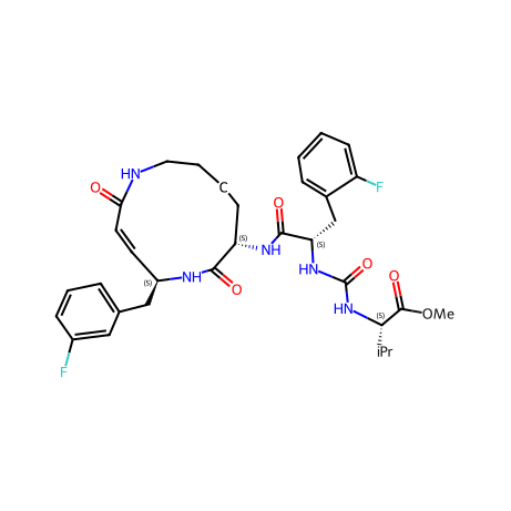 COC(=O)[C@@H](NC(=O)N[C@@H](Cc1ccccc1F)C(=O)N[C@H]1CCCCNC(=O)C=C[C@H](Cc2cccc(F)c2)NC1=O)C(C)C